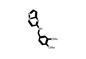 COc1ccc(CNc2ccn3nccc3n2)cc1OC